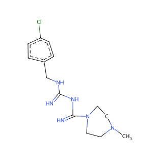 CN1CCN(C(=N)NC(=N)NCc2ccc(Cl)cc2)CC1